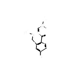 C=C(/N=C\N(C)C)c1ccc(Br)cc1CNO